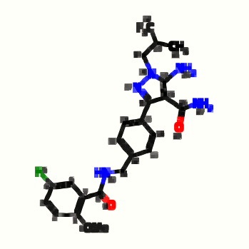 COc1ccc(F)cc1C(=O)NCc1ccc(-c2nn(CC(C)C(F)(F)F)c(N)c2C(N)=O)cc1